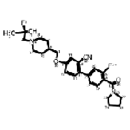 CC(C)(F)CN1CCC(COc2ccc(-c3ccc(C(=O)N4CCCC4)c(F)c3)c(C#N)c2)CC1